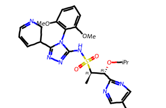 COc1cccc(OC)c1-n1c(NS(=O)(=O)[C@H](C)[C@H](OC(C)C)c2ncc(C)cn2)nnc1C1C=CC=NC1